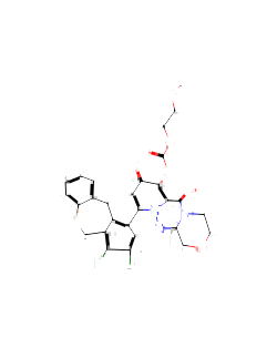 COCCOC(=O)Oc1c2n(c(-c3cc(F)c(F)c4c3Cc3ccccc3SC4)cc1=O)N[C@@H]1COCCN1C2=O